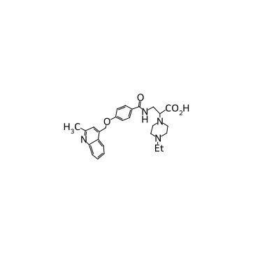 CCN1CCN(C(CNC(=O)c2ccc(OCc3cc(C)nc4ccccc34)cc2)C(=O)O)CC1